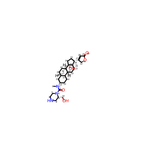 CN(C(=O)N1CCNC[C@H]1CO)[C@H]1CC[C@@]2(C)[C@H](CC[C@@H]3[C@@H]2CC[C@]2(C)[C@@H](C4=CC(=O)OC4)CC[C@]32O)C1